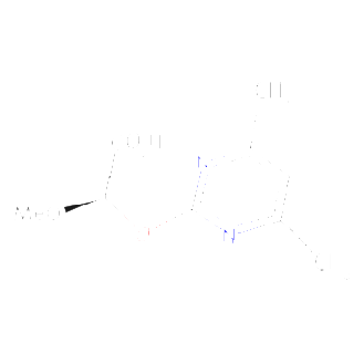 CO[C@H](Oc1nc(C)cc(C)n1)C(=O)O